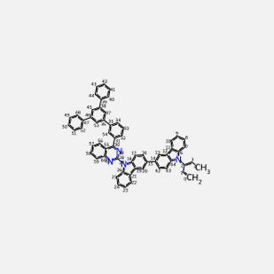 C=C/C(=C\C)n1c2ccccc2c2cc(-c3ccc4c(c3)c3ccccc3n4-c3nc(-c4cccc(-c5cc(-c6ccccc6)cc(-c6ccccc6)c5)c4)c4ccccc4n3)ccc21